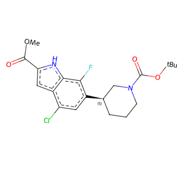 COC(=O)c1cc2c(Cl)cc([C@@H]3CCCN(C(=O)OC(C)(C)C)C3)c(F)c2[nH]1